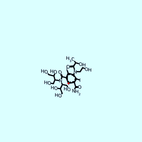 CC(O)C(=O)N(CCO)c1c(I)c(C(N)=O)c(I)c(C(=O)N(C(CO)C(O)CO)C(CO)C(O)CO)c1I